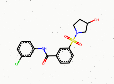 O=C(Nc1cccc(Cl)c1)c1cccc(S(=O)(=O)N2CCC(O)C2)c1